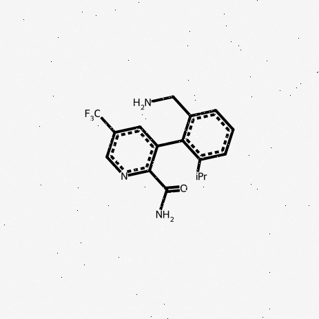 CC(C)c1cccc(CN)c1-c1cc(C(F)(F)F)cnc1C(N)=O